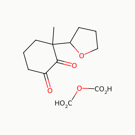 CC1(C2CCCO2)CCCC(=O)C1=O.O=C(O)OC(=O)O